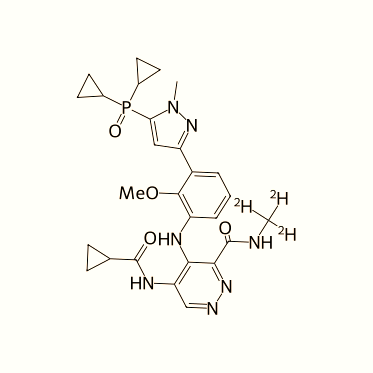 [2H]C([2H])([2H])NC(=O)c1nncc(NC(=O)C2CC2)c1Nc1cccc(-c2cc(P(=O)(C3CC3)C3CC3)n(C)n2)c1OC